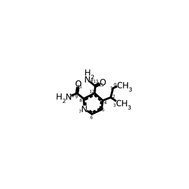 CCC(C)c1ccnc(C(N)=O)c1C(N)=O